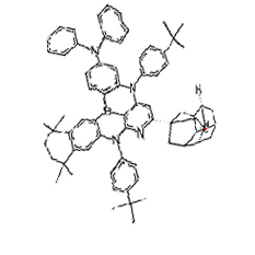 CC(C)(C)c1ccc(N2c3cc(N(c4ccccc4)c4ccccc4)ccc3B3c4cc5c(cc4N(c4ccc(C(C)(C)C)cc4)c4nc([C@]67CC8C9CC%10C[C@@H]8C(C6)[C@@H](C%10)C9C7)cc2c43)C(C)(C)CCC5(C)C)cc1